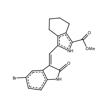 COC(=O)c1[nH]c(C=C2C(=O)Nc3ccc(Br)cc32)c2c1CCCC2